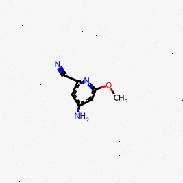 COc1cc(N)cc(C#N)n1